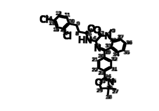 CN1C(=O)C(NC(=O)CCc2ccc(Cl)cc2Cl)N=C(c2ccc(C3=NC(C)(C)CO3)cc2)c2ccccc21